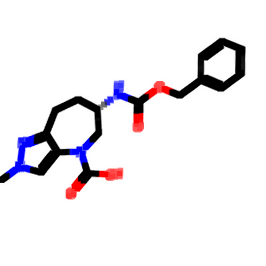 Cn1cc2c(n1)CC[C@H](NC(=O)OCc1ccccc1)CN2C(=O)O